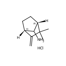 C=C1[C@@H]2CC[C@@H](C2N)C1(C)C.Cl